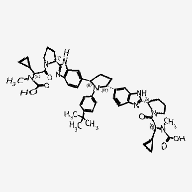 CN(C(=O)O)[C@H](C(=O)N1CCC[C@H]1c1nc2ccc([C@H]3CC[C@H](c4ccc5nc([C@@H]6CCCN6C(=O)[C@H](C6CC6)N(C)C(=O)O)[nH]c5c4)N3c3ccc(C(C)(C)C)cc3)cc2[nH]1)C1CC1